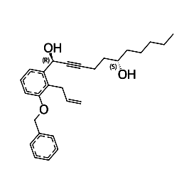 C=CCc1c(OCc2ccccc2)cccc1[C@@H](O)C#CCC[C@@H](O)CCCCC